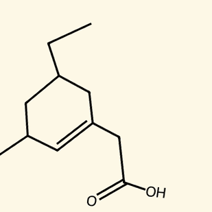 CCC1CC(CC(=O)O)=CC(C)C1